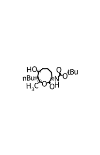 CCCC[C@H]1[C@H](C)OC(=O)[C@@H](NC(=O)OC(C)(C)C)CCC[C@@H]1O